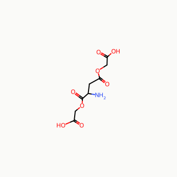 NC(CC(=O)OCC(=O)O)C(=O)OCC(=O)O